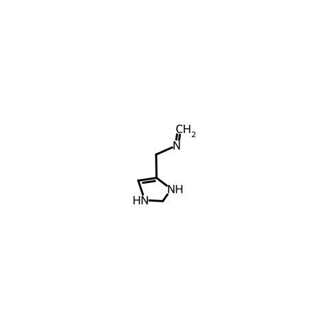 C=NCC1=CNCN1